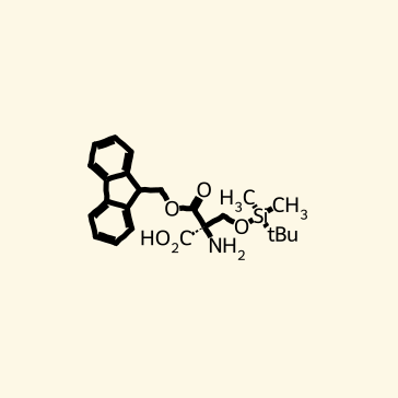 CC(C)(C)[Si](C)(C)OC[C@](N)(C(=O)O)C(=O)OCC1c2ccccc2-c2ccccc21